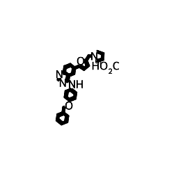 O=C(O)[C@@H]1CCCN1Cc1ccc(-c2ccc3ncnc(Nc4ccc(OCc5ccccc5)cc4)c3c2)o1